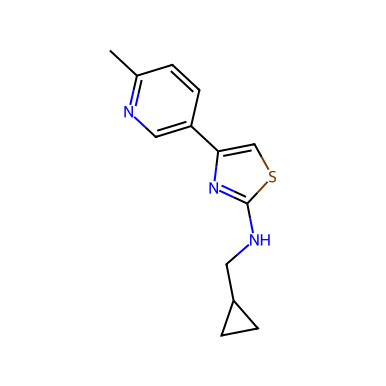 Cc1ccc(-c2csc(NCC3CC3)n2)cn1